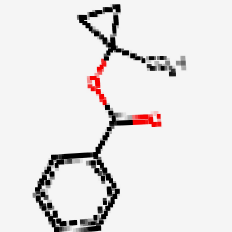 O=C(OC1(C(=O)O)CC1)c1ccccc1